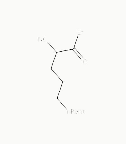 CCCCCCCCC(C#N)C(=O)CC